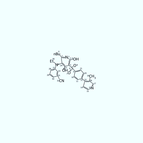 CCCCc1nc(O)c(S(=O)(=O)c2ccc(-c3ccncc3C)cc2)c(O)c1N(CC)c1cccc(C#N)c1